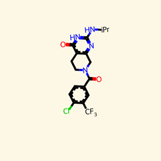 CC(C)Nc1nc2c(c(=O)[nH]1)CCN(C(=O)c1ccc(Cl)c(C(F)(F)F)c1)C2